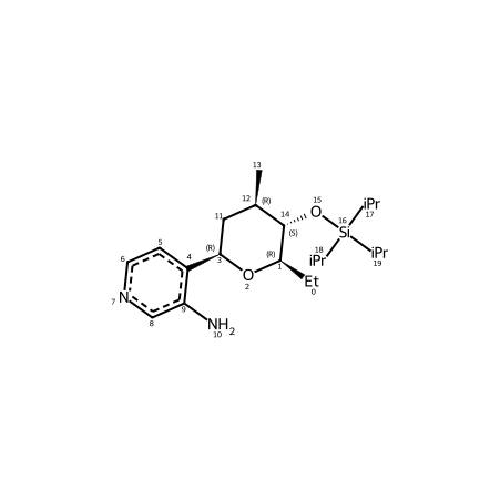 CC[C@H]1O[C@@H](c2ccncc2N)C[C@@H](C)[C@@H]1O[Si](C(C)C)(C(C)C)C(C)C